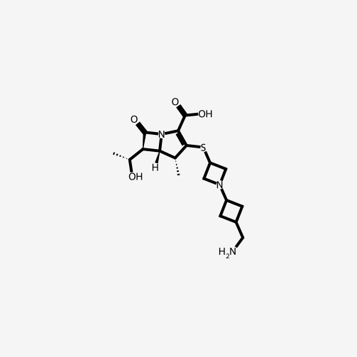 C[C@@H](O)[C@H]1C(=O)N2C(C(=O)O)=C(SC3CN(C4CC(CN)C4)C3)[C@H](C)[C@H]12